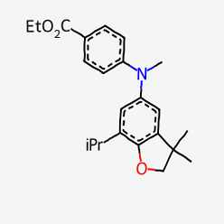 CCOC(=O)c1ccc(N(C)c2cc(C(C)C)c3c(c2)C(C)(C)CO3)cc1